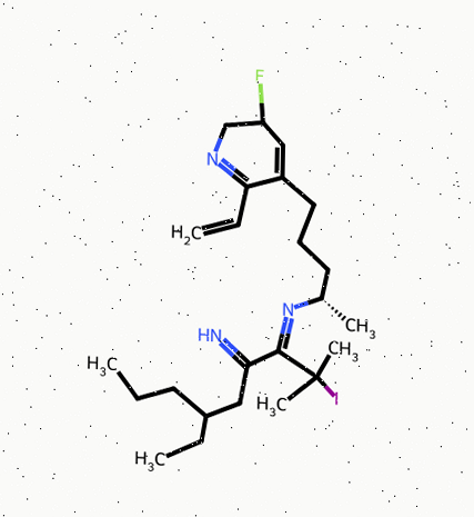 C=CC1=NCC(F)C=C1CCC[C@H](C)/N=C(/C(=N)CC(CC)CCC)C(C)(C)I